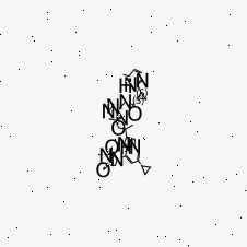 Cc1ccnc([C@H]2C[C@@H]2C(=O)Nc2nncc(OC(C)c3cn4cc(C5CC5)cc(N5CC(=O)N(C)C5O)c4n3)n2)n1